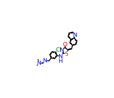 CN(C)C=NCc1ccc(Cl)c(NC2=NC(=O)C(=Cc3ccc4ncccc4c3)S2)c1